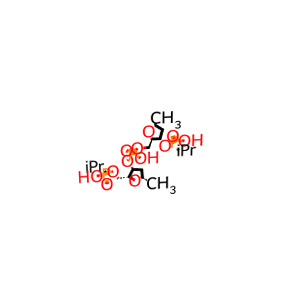 CC(C)P(=O)(O)OC[C@H]1O[C@@H](C)C[C@@H]1OP(=O)(O)OC[C@H]1O[C@@H](C)C[C@@H]1OP(=O)(O)C(C)C